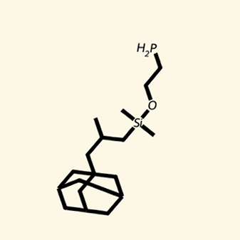 CC(CC12CC3CC(CC(C3)C1)C2)C[Si](C)(C)OCCP